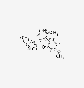 CCc1noc(COc2cc(OC)ccc2-c2cccnc2C)n1